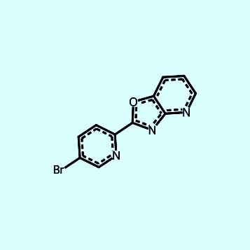 Brc1ccc(-c2nc3ncccc3o2)nc1